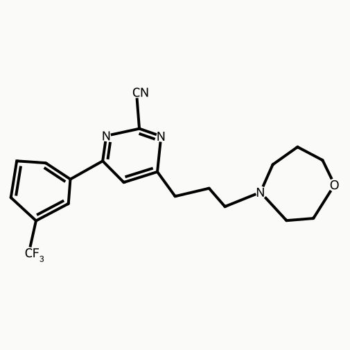 N#Cc1nc(CCCN2CCCOCC2)cc(-c2cccc(C(F)(F)F)c2)n1